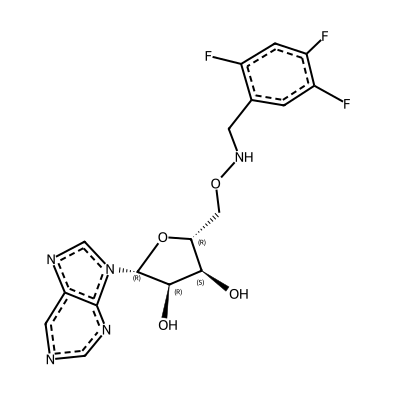 O[C@@H]1[C@H](O)[C@@H](CONCc2cc(F)c(F)cc2F)O[C@H]1n1cnc2cncnc21